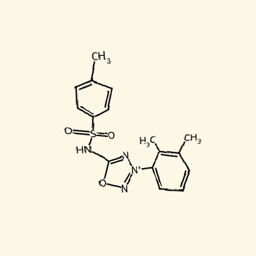 Cc1ccc(S(=O)(=O)Nc2n[n+](-c3cccc(C)c3C)no2)cc1